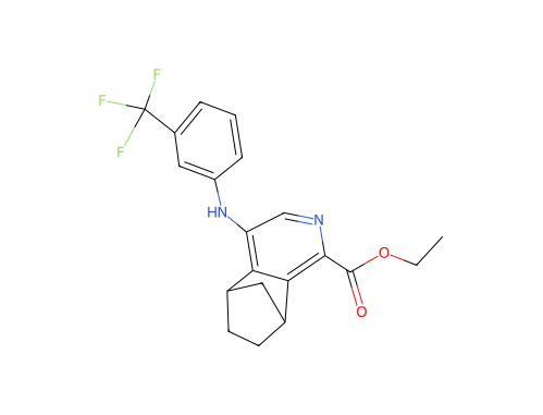 CCOC(=O)c1ncc(Nc2cccc(C(F)(F)F)c2)c2c1C1CCC2C1